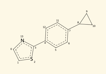 c1csc(-c2ccc(C3CC3)cc2)n1